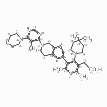 Cc1nc(C)c(-c2ccc3c(c2)CCN(c2ncnc(N4CCOCC4)c2C)C3)c(N2CCC(C)(C)CC2)c1CC(=O)O